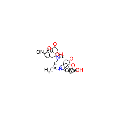 CCN(CC=C=C(C)CN1CC23CCC(=O)C4Oc5c(O)ccc6c5C4(C2)C3(OC)C1C6)C1Cc2ccc(N=O)c3c2C2(CC)C(O3)C(=O)CCC12O